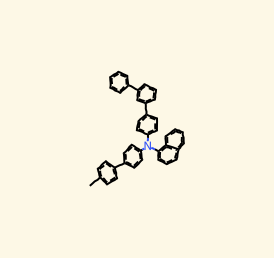 Cc1ccc(-c2ccc(N(c3ccc(-c4cccc(-c5ccccc5)c4)cc3)c3cccc4ccccc34)cc2)cc1